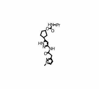 CC(C)NC(=O)OC1CCC(c2cc(NC(=O)Cc3ccn(C)n3)n[nH]2)C1